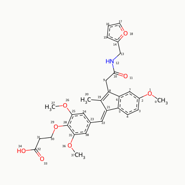 COc1ccc2c(c1)C(CC(=O)NCc1ccco1)=C(C)C2=Cc1cc(OC)c(OCCC(=O)O)c(OC)c1